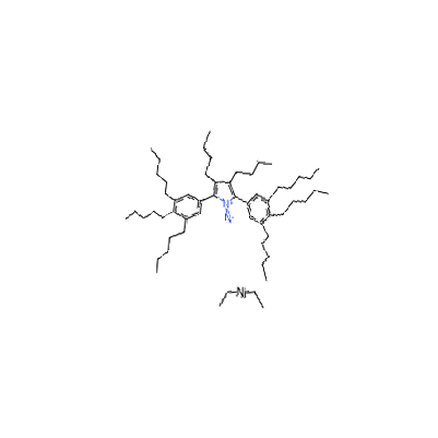 CCCCCc1cc(C2=C(CCCC)C(CCCC)=C(c3cc(CCCCC)c(CCCCC)c(CCCCC)c3)[N+]2=[N-])cc(CCCCC)c1CCCCC.C[CH2][Ni][CH2]C